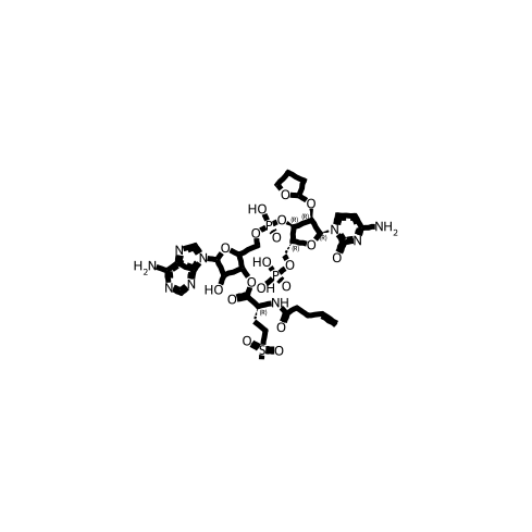 C=CCCC(=O)N[C@H](CCS(C)(=O)=O)C(=O)OC1C(COP(=O)(O)O[C@H]2[C@@H](OC3CCCO3)[C@H](n3ccc(N)nc3=O)O[C@@H]2COP(=O)(O)O)OC(n2cnc3c(N)ncnc32)C1O